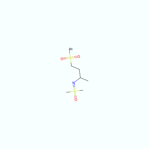 CC(CCS(=O)(=O)C(C)C)N=S(C)(C)=O